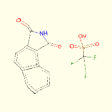 O=C1NC(=O)c2c1ccc1ccccc21.O=S(=O)(O)C(F)(F)F